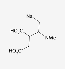 CNC([CH2][Na])C(CC(=O)O)C(=O)O